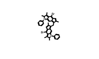 CC1=Cc2c(Br)c3c(cc2=C1CC1=c2cc4c(c(Br)c2C=C1C)=C(C)C(C)N4c1ccccc1)N(c1ccccc1)C(C)C=3C